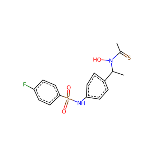 CC(=S)N(O)C(C)c1ccc(NS(=O)(=O)c2ccc(F)cc2)cc1